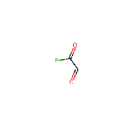 O=CC(=O)F